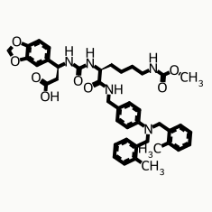 COC(=O)NCCCC[C@H](NC(=O)N[C@@H](CC(=O)O)c1ccc2c(c1)OCO2)C(=O)NCc1ccc(N(Cc2ccccc2C)Cc2ccccc2C)cc1